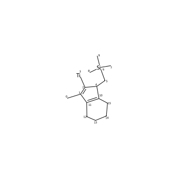 CC1=[C]([Ti])C(C[Si](C)(C)C)C2=C1CCCC2